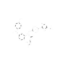 CCc1ccc(Nc2cccc(N(CC34CCC(c5noc(C(C)(C)C)n5)(CC3)CC4)C(=O)C34CC(F)(C3)C4)c2)cc1